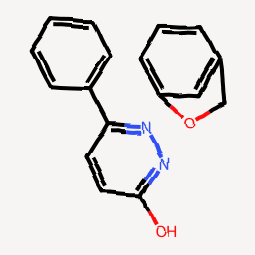 Oc1ccc(-c2ccccc2)nn1.c1cc2cc(c1)OC2